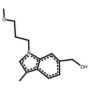 COCCCn1cc(C)c2ccc(CO)cc21